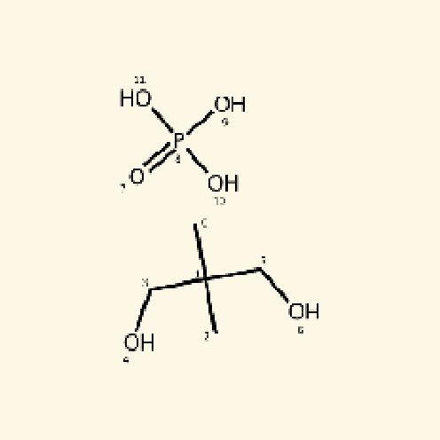 CC(C)(CO)CO.O=P(O)(O)O